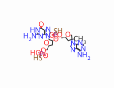 C[C@]1(n2cnc3c(N)ncnc32)CO[C@H](COP(=O)(S)O[C@H]2C[C@@H](COP(=O)(O)S)O[C@H]2n2cnc3c(=O)[nH]c(N)nc32)C1